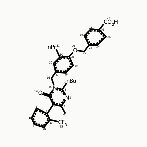 CCCCc1nc(C)c(-c2ccccc2C(F)(F)F)c(=O)n1Cc1ccc(OCc2ccc(C(=O)O)cc2)c(CCC)c1